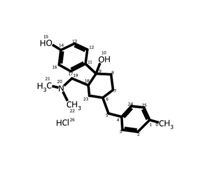 Cc1ccc(CC2CCC(O)(c3ccc(O)cc3)C(CN(C)C)C2)cc1.Cl